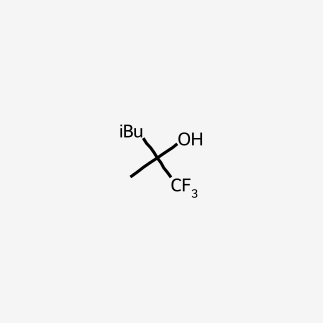 CCC(C)C(C)(O)C(F)(F)F